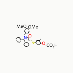 COc1ccc(CN(C(=O)CCSc2ccc(OCC(=O)O)c(C)c2)C(c2ccccc2)c2ccccc2)cc1OC